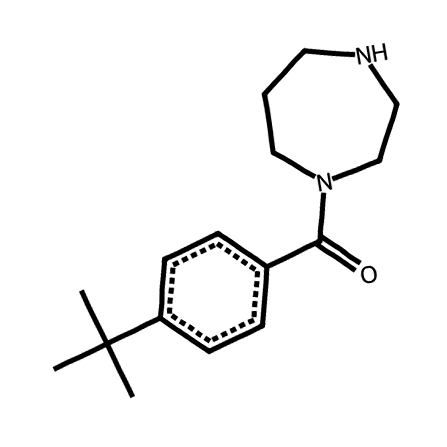 CC(C)(C)c1ccc(C(=O)N2CCCNCC2)cc1